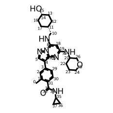 Cc1cc(-c2cnn3c(NC[C@H]4CC[C@@H](O)CC4)cc(NC4CCCOC4)nc23)ccc1C(=O)NC1CC1